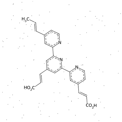 C/C=C/c1ccnc(-c2cc(/C=C/C(=O)O)cc(-c3cc(/C=C/C(=O)O)ccn3)n2)c1